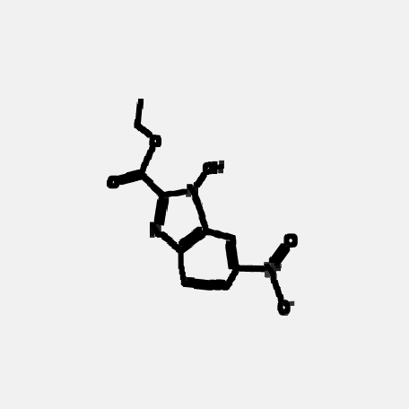 CCOC(=O)c1nc2ccc([N+](=O)[O-])cc2n1O